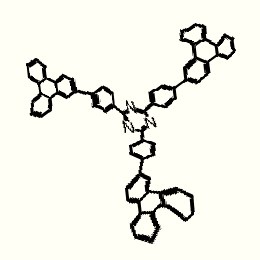 c1ccc2c(c1)c1ccccc1c1cc(-c3ccc(-c4nc(-c5ccc(-c6ccc7c8ccccc8c8ccccc8c7c6)cc5)nc(-c5ccc(-c6ccc7c8ccccc8c8ccccc8c7c6)cc5)n4)cc3)ccc21